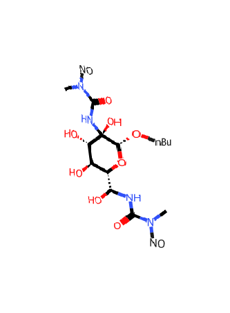 CCCCO[C@@H]1O[C@H](C(O)NC(=O)N(C)N=O)[C@@H](O)[C@H](O)[C@]1(O)NC(=O)N(C)N=O